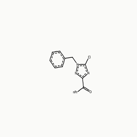 CCCC(=O)c1nc(Cl)n(Cc2ccccc2)n1